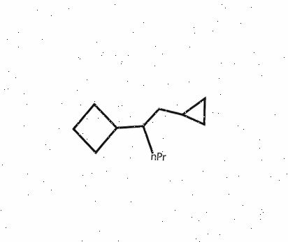 CCC[C](CC1CC1)C1CCC1